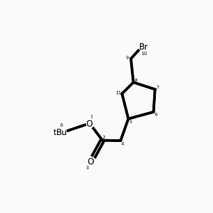 CC(C)(C)OC(=O)CC1CCC(CBr)C1